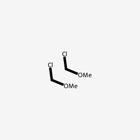 COCCl.COCCl